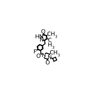 Cc1c(Cc2ccc(F)c(C(=O)N3CC(=O)N(C4CCC4)C(C)C3)c2)n[nH]c(=O)c1C